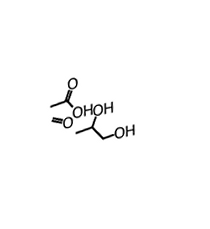 C=O.CC(=O)O.CC(O)CO